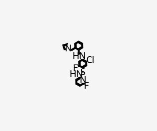 Fc1cccc(NSc2cc(Cl)c(NCc3ccccc3CN3CCC3)cc2F)n1